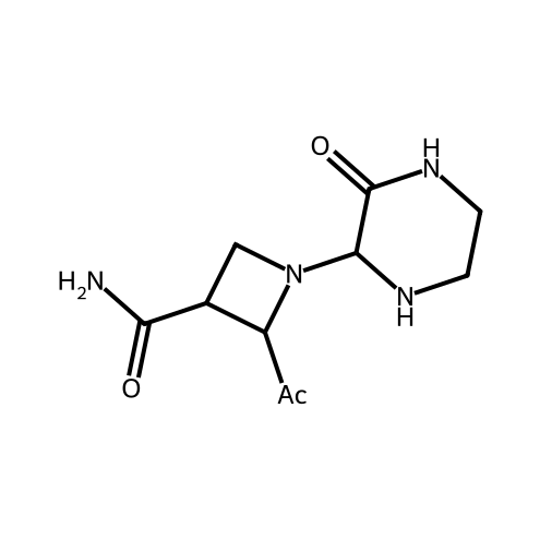 CC(=O)C1C(C(N)=O)CN1C1NCCNC1=O